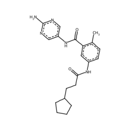 Cc1ccc(NC(=O)CCC2CCCC2)cc1C(=O)Nc1cnc(N)nc1